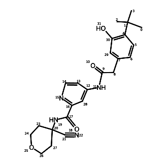 CC(C)(C)c1ccc(CC(=O)Nc2ccnc(C(=O)NC3(C#N)CCOCC3)c2)cc1O